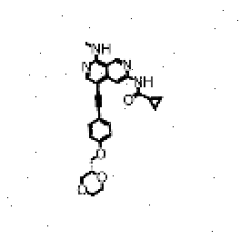 CNc1ncc(C#Cc2ccc(OC[C@H]3COCCO3)cc2)c2cc(NC(=O)C3CC3)ncc12